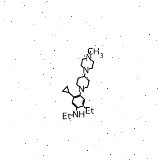 CCNc1cc(C2CC2)c(N2CCC(N3CCN(C)CC3)CC2)cc1CC